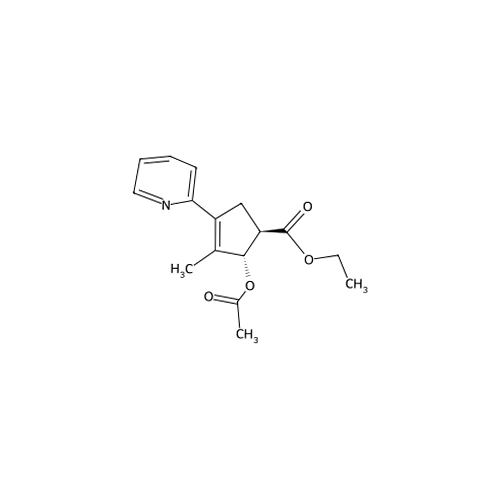 CCOC(=O)[C@@H]1CC(c2ccccn2)=C(C)[C@H]1OC(C)=O